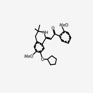 COc1cc2c(cc1OC1CCCC1)C(=CC(=O)c1ccccc1OC)NC(C)(C)C2